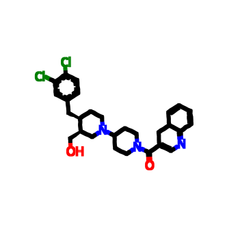 O=C(C1=CN=C2C=CC=CC2C1)N1CCC(N2CC[C@H](Cc3ccc(Cl)c(Cl)c3)[C@H](CO)C2)CC1